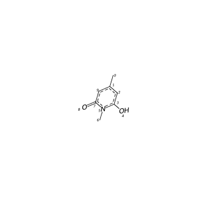 Cc1cc(O)n(C)c(=O)c1